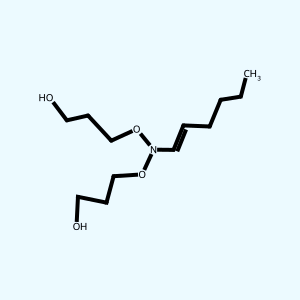 CCCCC=CN(OCCCO)OCCCO